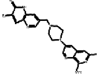 CCc1cc2ncc(CN3CCN(c4cnc5c(NC)nc(C)cc5c4)CC3)cc2[nH]c1=O